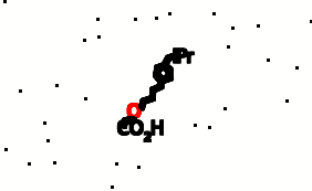 CC(C)Cc1ccc(CCCCCOCCC(=O)O)cc1